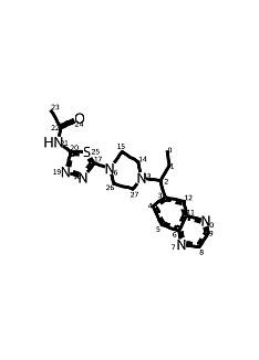 CCC(c1ccc2nccnc2c1)N1CCN(c2nnc(NC(C)=O)s2)CC1